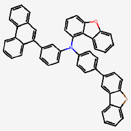 c1cc(-c2cc3ccccc3c3ccccc23)cc(N(c2ccc(-c3ccc4sc5ccccc5c4c3)cc2)c2cccc3oc4ccccc4c23)c1